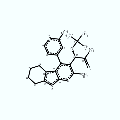 Cc1cc(-c2c([C@@H](OC(C)(C)C)C(=O)O)c(C)nc3sc4c(c23)CCCC4)ccn1